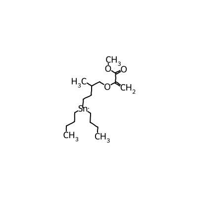 C=C(OCC(C)C[CH2][Sn]([CH2]CCC)[CH2]CCC)C(=O)OC